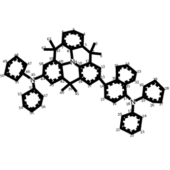 CC1(C)c2cccc3c2N2c4c1cc(-c1ccc(N(c5ccccc5)c5ccccc5)c5ccccc15)cc4C(C)(C)c1cc(N(c4ccccc4)c4ccccc4)cc(c12)C3(C)C